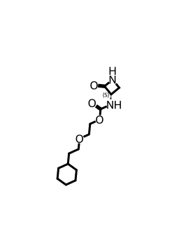 O=C(N[C@H]1CNC1=O)OCCOCCC1CCCCC1